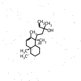 C=CC(C)(O)CC[C@@]1(C)C(C)=CC[C@@]2(C)[C@@H](C)CCC[C@@H]21